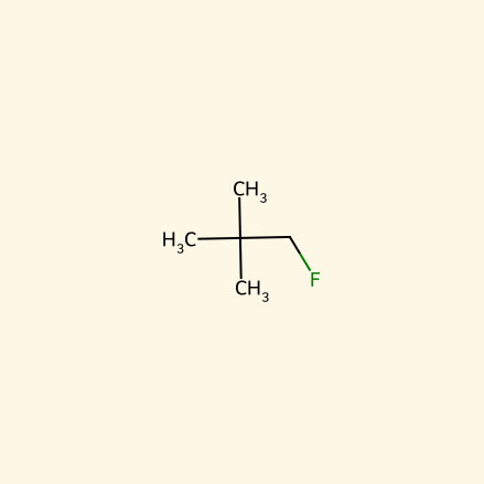 CC(C)(C)CF